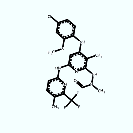 CSc1cc(Cl)ccc1Nc1cc(Nc2ccc(C)c(C(F)(F)F)n2)nc(NN(C)C=O)c1C